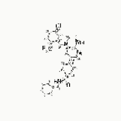 O=C(NCc1ccccc1)c1ccc(-c2cnc3c(c2)N(Cc2cc(Cl)ccc2C(F)(F)F)CCN3)cc1